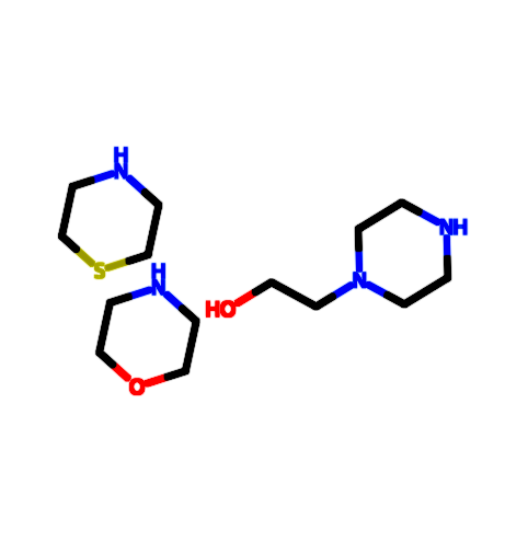 C1COCCN1.C1CSCCN1.OCCN1CCNCC1